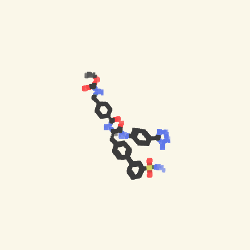 CC(C)(C)OC(=O)NC[C@H]1CC[C@H](C(=O)N[C@@H](Cc2ccc(-c3cccc(S(N)(=O)=O)c3)cc2)C(=O)Nc2ccc(-c3nnn[nH]3)cc2)CC1